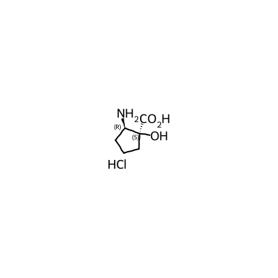 Cl.N[C@@H]1CCC[C@@]1(O)C(=O)O